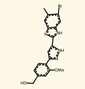 COc1cc(CO)ccc1-c1cc(-c2nc3cc(C)c(Br)cc3[nH]2)[nH]n1